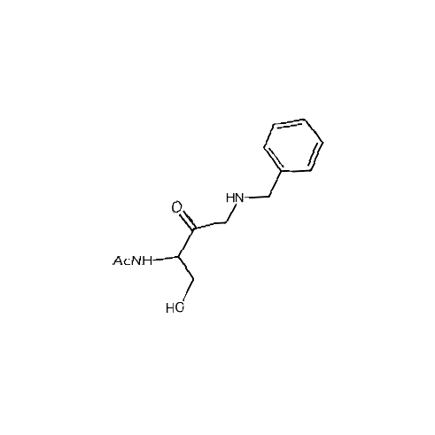 CC(=O)NC(CO)C(=O)CNCc1ccccc1